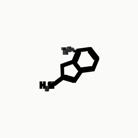 [SiH3]C1=Cc2ccccc2C1.[Ti+3]